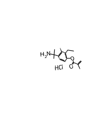 C=C(C)C(=O)Oc1ccc(C(C)(C)N)c(C)c1CC.Cl